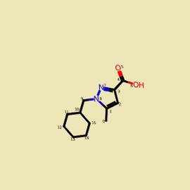 Cc1cc(C(=O)O)nn1CC1CCCCC1